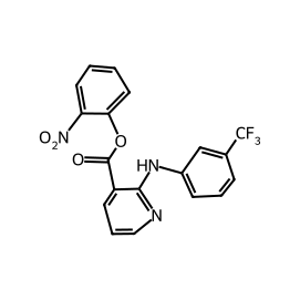 O=C(Oc1ccccc1[N+](=O)[O-])c1cccnc1Nc1cccc(C(F)(F)F)c1